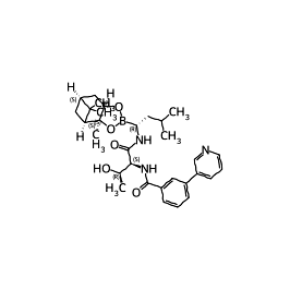 CC(C)C[C@H](NC(=O)[C@@H](NC(=O)c1cccc(-c2cccnc2)c1)[C@@H](C)O)B1O[C@@H]2C[C@@H]3C[C@@H](C3(C)C)[C@]2(C)O1